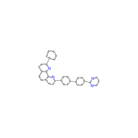 c1ccc(-c2ccc3ccc4ccc(-c5ccc(-c6ccc(-c7ncccn7)cc6)cc5)nc4c3n2)cc1